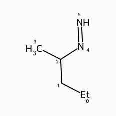 CCCC(C)N=N